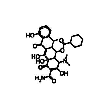 CC1c2cccc(O)c2C(=O)C2=C(O)C3(O)C(=O)C(C(N)=O)=C(O)C(N(C)C)C3C(OC(=O)C3CCCCC3)C21